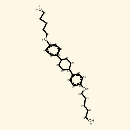 OCCCCCOc1ccc(C2CCC(c3ccc(OCCCCCO)cc3)CC2)cc1